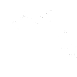 C[C@@H](c1ccc(-c2ccc(C3(C(N)=O)CC3)cn2)cc1)N1CCC(CC(C)(C)O)(c2ccccc2)OC1=O